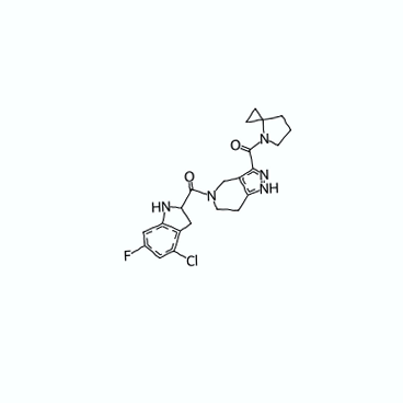 O=C(C1Cc2c(Cl)cc(F)cc2N1)N1CCc2[nH]nc(C(=O)N3CCCC34CC4)c2C1